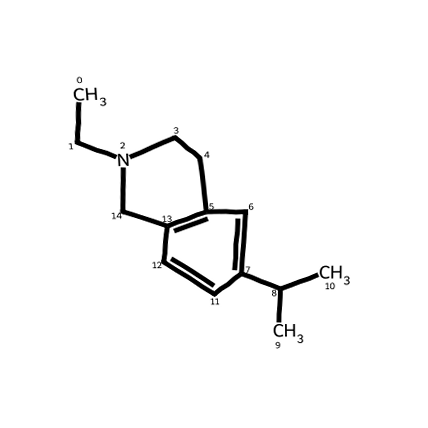 CCN1CCc2cc(C(C)C)ccc2C1